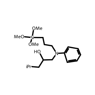 CO[Si](CCCN(CC(O)CC(C)C)c1ccccc1)(OC)OC